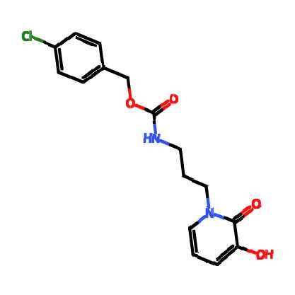 O=C(NCCCn1cccc(O)c1=O)OCc1ccc(Cl)cc1